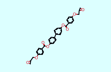 O=C(Oc1ccc(-c2ccc(OC(=O)c3ccc(OCC4CO4)cc3)cc2)cc1)c1ccc(OCC2CO2)cc1